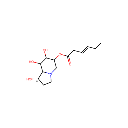 CCC=CCC(=O)OC1CN2CC[C@H](O)C2C(O)C1O